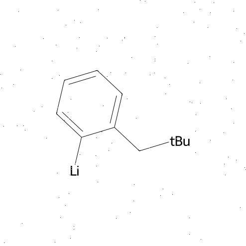 [Li][c]1ccccc1CC(C)(C)C